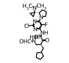 CN(C)C1([C@@H]2CCCN2c2nc(Cl)nc(NNC(=O)[C@@H](CC3CCCC3)CN(O)C=O)c2F)CC1